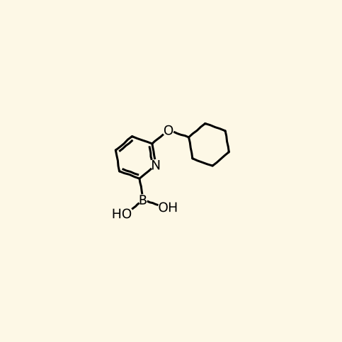 OB(O)c1cccc(OC2CCCCC2)n1